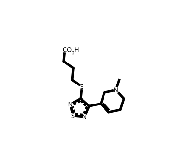 CN1CCC=C(c2nsnc2SCCCC(=O)O)C1